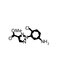 COC(=O)c1cnn(-c2cc(N)ccc2Cl)n1